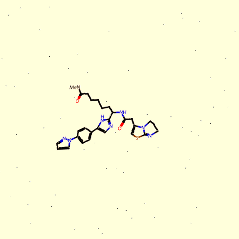 CNC(=O)CCCCCC(NC(=O)CC1=CSC2=NCCCN12)c1ncc(-c2ccc(-n3cccn3)cc2)[nH]1